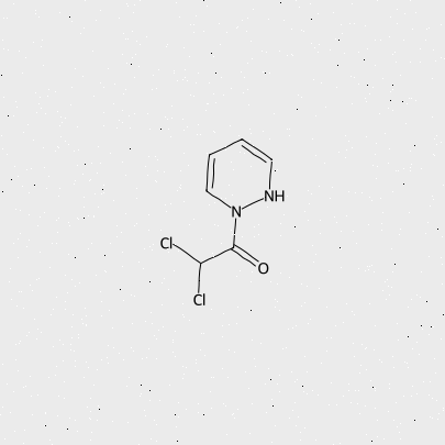 O=C(C(Cl)Cl)N1C=CC=CN1